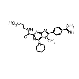 Cn1c(-c2ccc(C(=N)N)cc2)nc2nc(C(=O)NCCC(=O)O)nc(N3CCCCC3)c21